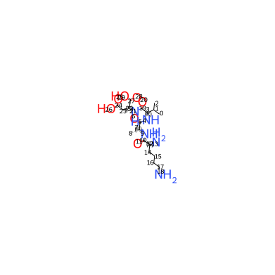 CC(C)[C@@H](NC(=O)[C@@H](C)NC(=O)[C@@H](N)CCCCN)C(=O)N[C@@H](CC(=O)O)C(=O)O